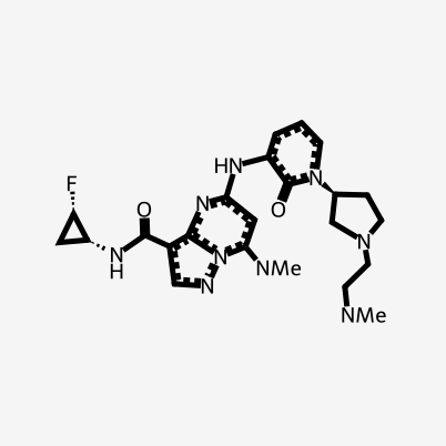 CNCCN1CC[C@H](n2cccc(Nc3cc(NC)n4ncc(C(=O)N[C@@H]5C[C@@H]5F)c4n3)c2=O)C1